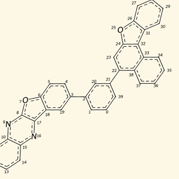 c1cc(-c2ccc3oc4nc5ccccc5nc4c3c2)cc(-c2cc3oc4ccccc4c3c3ccccc23)c1